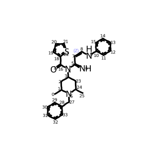 CC1CC(N(C(=N)/C=C\Nc2ccccc2)C(=O)c2cccs2)CC(C)N1Cc1ccccc1